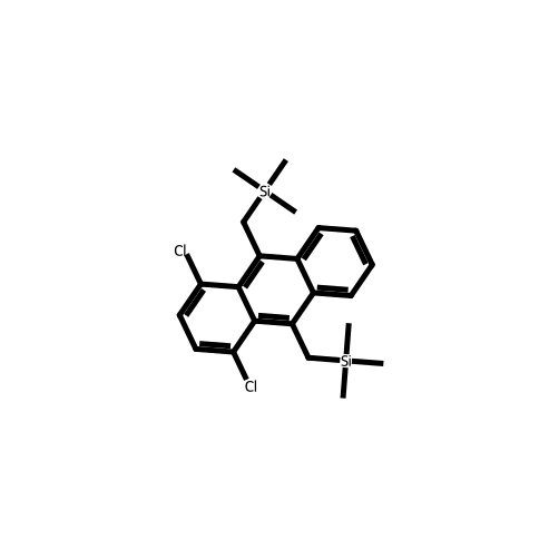 C[Si](C)(C)Cc1c2ccccc2c(C[Si](C)(C)C)c2c(Cl)ccc(Cl)c12